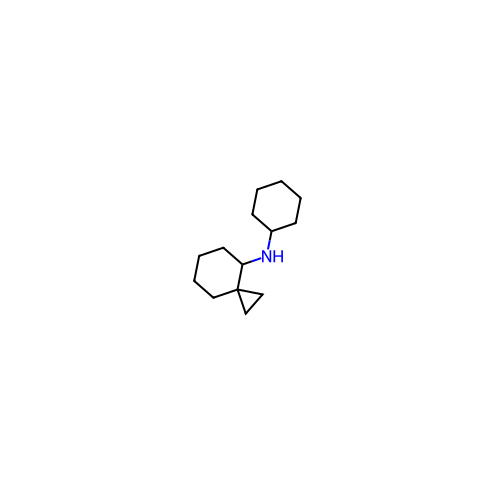 C1CCC(NC2CCCCC23CC3)CC1